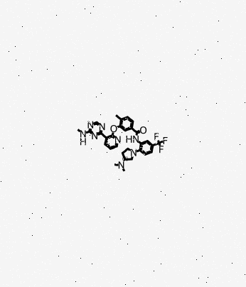 CNc1ncnc(-c2cccnc2Oc2cc(C(=O)Nc3cc(C(F)(F)F)ccc3N3CC[C@@H](N(C)C)C3)ccc2C)n1